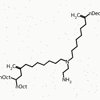 C=C(CCCCCCCCCC)CCCCCCCN(CCN)CCCCCCCC(=C)CC(CCCCCCCC)CCCCCCCC